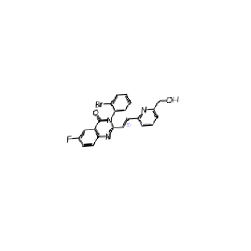 O=c1c2cc(F)ccc2nc(/C=C/c2cccc(CO)n2)n1-c1ccccc1Br